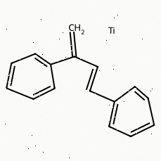 C=C(C=Cc1ccccc1)c1ccccc1.[Ti]